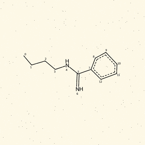 CCCCNC(=N)c1ccccc1